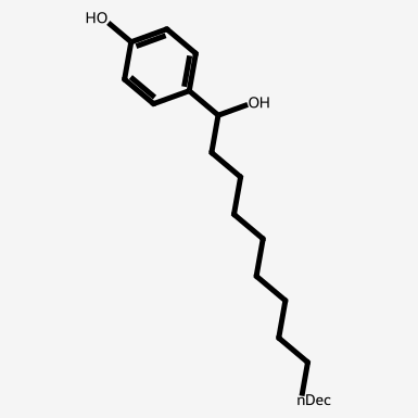 CCCCCCCCCCCCCCCCCCC(O)c1ccc(O)cc1